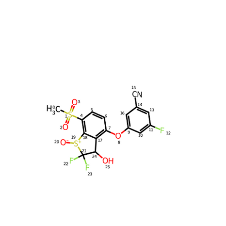 CS(=O)(=O)c1ccc(Oc2cc(F)cc(C#N)c2)c2c1[S+]([O-])C(F)(F)C2O